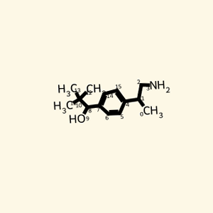 CC(CN)c1ccc(C(O)C(C)(C)C)cc1